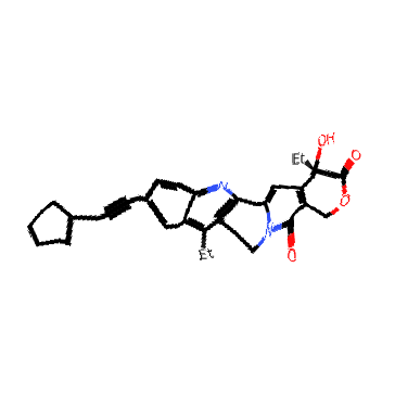 CCc1c2c(nc3ccc(C#CC4CCCC4)cc13)-c1cc3c(c(=O)n1C2)COC(=O)[C@]3(O)CC